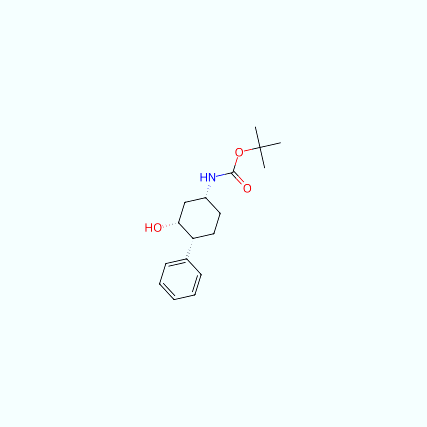 CC(C)(C)OC(=O)N[C@@H]1CC[C@H](c2ccccc2)[C@H](O)C1